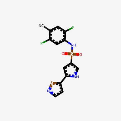 N#Cc1cc(F)c(NS(=O)(=O)c2c[nH]c(-c3ccns3)c2)cc1F